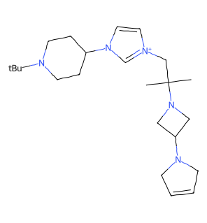 CC(C)(C)N1CCC(n2cc[n+](CC(C)(C)N3CC(N4CC=CC4)C3)c2)CC1